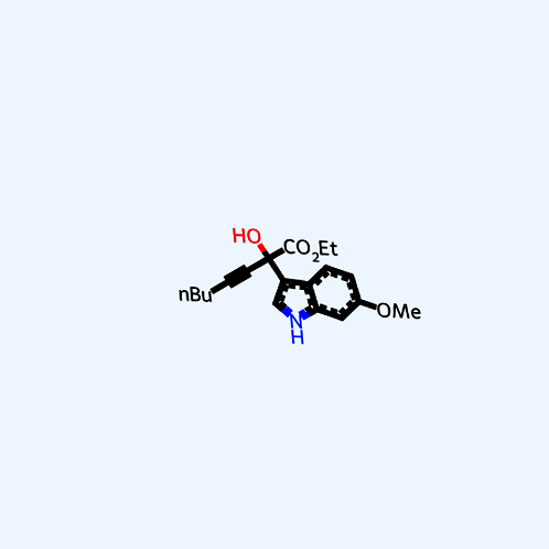 CCCCC#CC(O)(C(=O)OCC)c1c[nH]c2cc(OC)ccc12